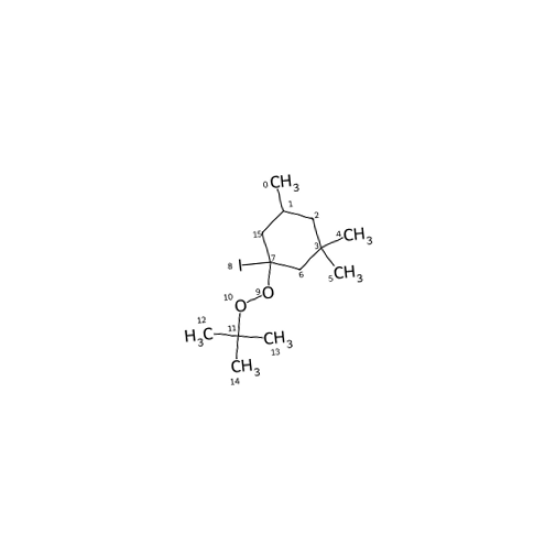 CC1CC(C)(C)CC(I)(OOC(C)(C)C)C1